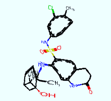 Cc1ccc(NS(=O)(=O)c2cc3c(cc2NC2(C)CCC4C[C@]2(O)C4(C)C)NC(=O)CC3)cc1Cl